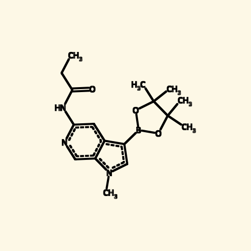 CCC(=O)Nc1cc2c(B3OC(C)(C)C(C)(C)O3)cn(C)c2cn1